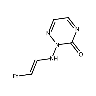 CCC=CNn1nccnc1=O